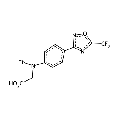 CCN(CC(=O)O)c1ccc(-c2noc(C(F)(F)F)n2)cc1